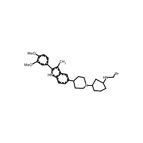 COc1ccc(-c2[nH]c3ccc(C4CCN(C5CCCC(NCC(C)C)C5)CC4)cc3c2C)cc1OC